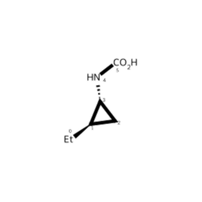 CC[C@@H]1C[C@H]1NC(=O)O